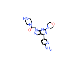 Nc1ccc(-c2nc(N3CCOCC3)nc3c2cnn3CC(=O)N2CCNCC2)cn1